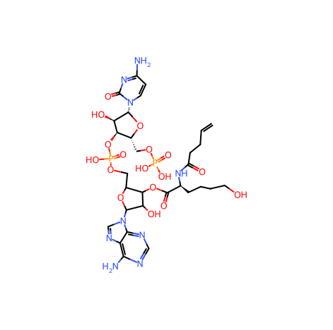 C=CCCC(=O)N[C@@H](CCCCO)C(=O)OC1C(COP(=O)(O)O[C@H]2[C@@H](O)[C@H](n3ccc(N)nc3=O)O[C@@H]2COP(=O)(O)O)OC(n2cnc3c(N)ncnc32)C1O